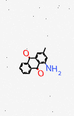 Cc1cc(N)c2c(c1)C(=O)c1ccccc1C2=O